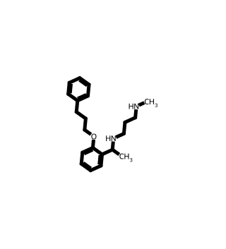 CNCCCNC(C)c1ccccc1OCCCc1ccccc1